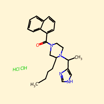 CCCCC1CN(C(=O)c2cccc3ccccc23)CCN1C(C)c1c[nH]cn1.Cl.Cl